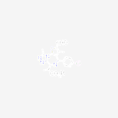 Cc1c(C=O)sc2c1C(c1ccc(Cl)cc1)=N[C@@H](C(C)C(=O)O)c1nnc(C)n1-2